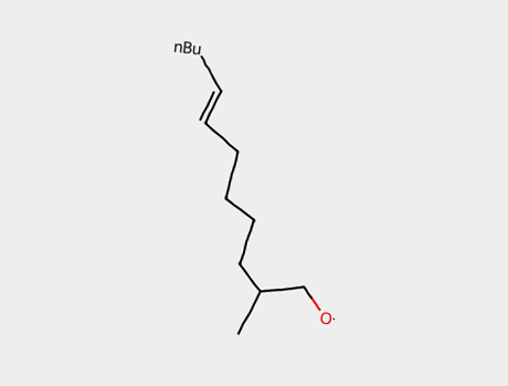 CCCC/C=C/CCCCC(C)C[O]